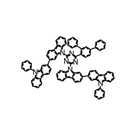 c1ccc(-c2ccc(-c3nc(-n4c5ccccc5c5ccc(-c6ccc7c8ccccc8n(-c8ccccc8)c7c6)cc54)nc(-n4c5ccccc5c5ccc(-c6ccc7c8ccccc8n(-c8ccccc8)c7c6)cc54)n3)c(-c3ccccc3)c2)cc1